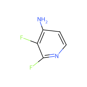 Nc1ccnc(F)c1F